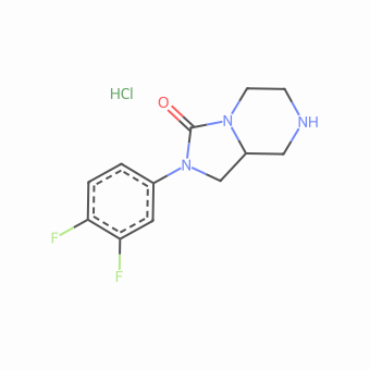 Cl.O=C1N(c2ccc(F)c(F)c2)CC2CNCCN12